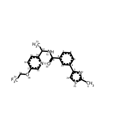 Cc1nc(-c2cccc(C(=O)NC(C)c3ccc(OCC(F)(F)F)cn3)c2)cs1